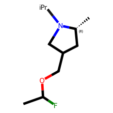 CC(F)OCC1C[C@@H](C)N(C(C)C)C1